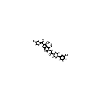 Cc1c(C(=O)N2CC[C@H](F)C2)sc2ncn(CC(=O)N3CCN(c4cccc(Cl)c4)CC3)c(=O)c12